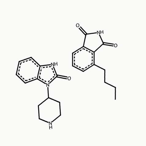 CCCCc1cccc2c1C(=O)NC2=O.O=c1[nH]c2ccccc2n1C1CCNCC1